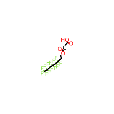 O=C(O)CCC(=O)OCCC(F)(F)C(F)(F)C(F)(F)C(F)(F)C(F)(F)C(F)(F)F